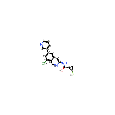 O=C(Nc1cc2cc(-c3cccnc3)cc(Cl)c2cn1)[C@H]1C[C@H]1F